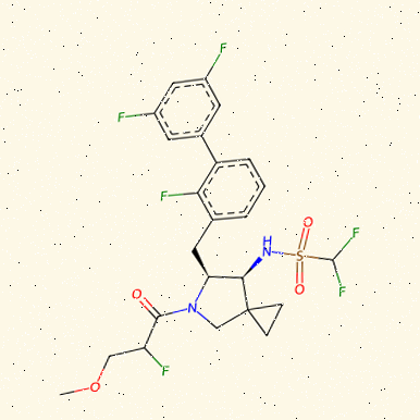 COCC(F)C(=O)N1CC2(CC2)[C@H](NS(=O)(=O)C(F)F)[C@@H]1Cc1cccc(-c2cc(F)cc(F)c2)c1F